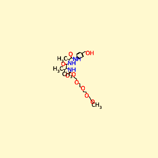 COCCOCCOCCOCCOC(=O)N[C@H](C(=O)N[C@@H](C)C(=O)Nc1ccc(CO)cc1)C(C)C